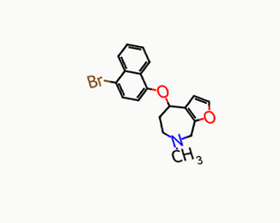 CN1CCC(Oc2ccc(Br)c3ccccc23)c2ccoc2C1